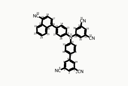 N#Cc1cc(C#N)cc(-c2ccc(N(c3ccc(-c4ccc(C#N)c5ccccc45)cc3)c3cc(C#N)cc(C#N)c3)cc2)c1